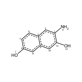 Nc1cc2ccc(O)cc2cc1O